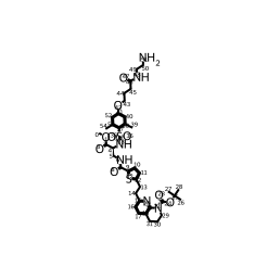 COC(=O)[C@H](CNC(=O)c1ccc(CCc2ccc3c(n2)N(C(=O)OC(C)(C)C)CCC3)s1)NS(=O)(=O)c1c(C)cc(OCCCC(=O)NCCN)cc1C